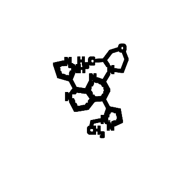 CCn1nccc1-c1cc(N2CCOCC2C)nc2c(-c3ccn[nH]3)nccc12